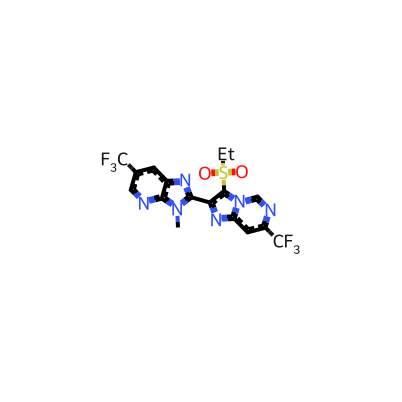 CCS(=O)(=O)c1c(-c2nc3cc(C(F)(F)F)cnc3n2C)nc2cc(C(F)(F)F)ncn12